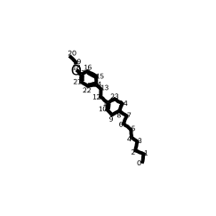 CCCCCCCCC1CC=C(CCc2ccc(OCC)cc2)CC1